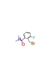 CN(C)C(=O)c1cccc(F)c1CBr